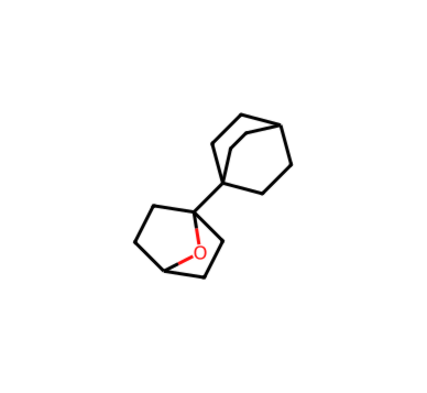 C1CC2(C34CCC(CC3)O4)CCC1CC2